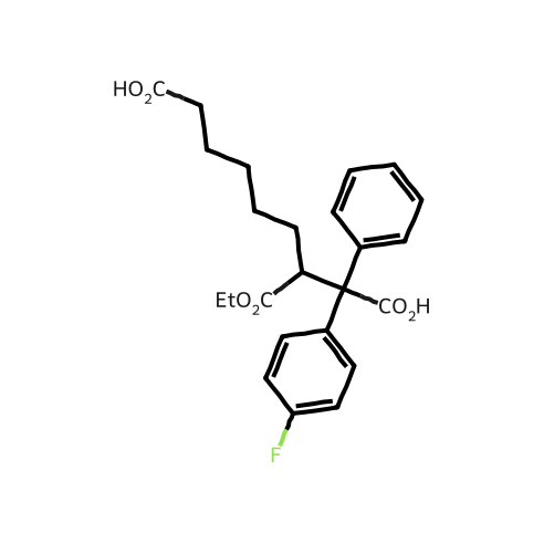 CCOC(=O)C(CCCCCC(=O)O)C(C(=O)O)(c1ccccc1)c1ccc(F)cc1